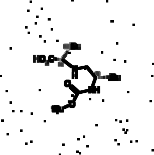 CCC(C)[C@@H](CN[C@H](C(=O)O)[C@@H](C)CC)NC(=O)OC(C)(C)C